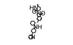 C=C1CCC(N2Cc3cc(C[C@H]4CCCC[C@@H]4NC4CCC(c5ccccn5)CC4)ccc3C2=O)C(=O)N1